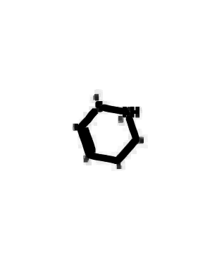 [CH]1CC=CSN1